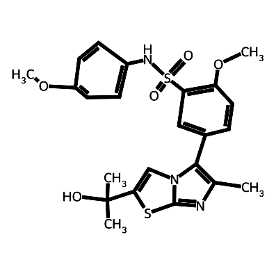 COc1ccc(NS(=O)(=O)c2cc(-c3c(C)nc4sc(C(C)(C)O)cn34)ccc2OC)cc1